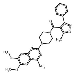 COc1cc2nc(N3CCN(C(=O)c4c(-c5ccccc5)noc4C)CC3)nc(N)c2cc1OC